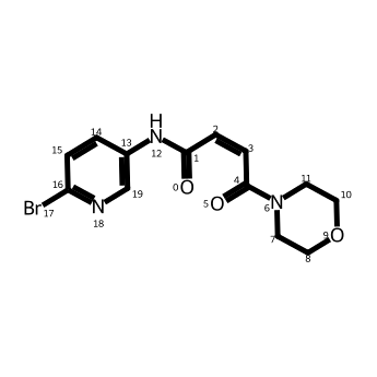 O=C(/C=C\C(=O)N1CCOCC1)Nc1ccc(Br)nc1